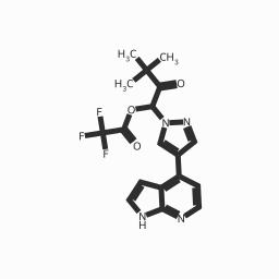 CC(C)(C)C(=O)C(OC(=O)C(F)(F)F)n1cc(-c2ccnc3[nH]ccc23)cn1